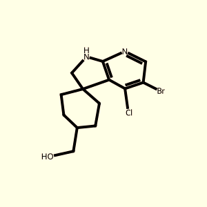 OCC1CCC2(CC1)CNc1ncc(Br)c(Cl)c12